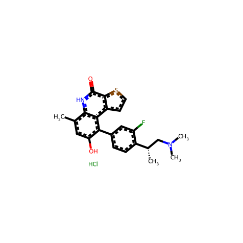 Cc1cc(O)c(-c2ccc([C@@H](C)CN(C)C)c(F)c2)c2c1[nH]c(=O)c1sccc12.Cl